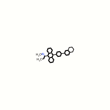 C=N/C(=C\C)c1c2ccccc2c(-c2ccc(-c3ccc4c(c3)CCCC4)cc2)c2ccccc12